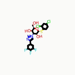 OC[C@H]1O[C@H](Sc2ccc(Cl)cc2Cl)[C@H](O)[C@@H](n2cc(-c3cc(F)c(F)c(F)c3)nn2)[C@H]1O